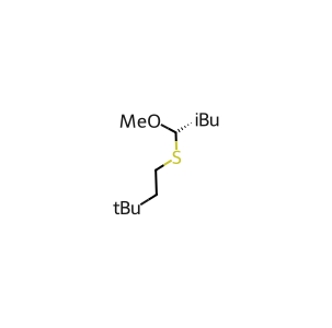 CC[C@@H](C)C(OC)SCCC(C)(C)C